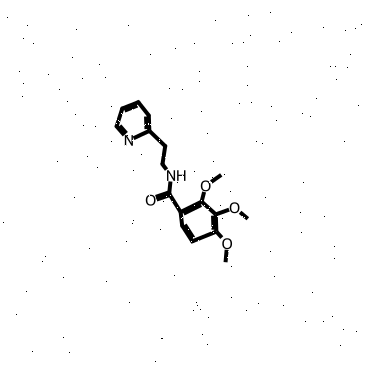 COc1ccc(C(=O)NCCc2ccccn2)c(OC)c1OC